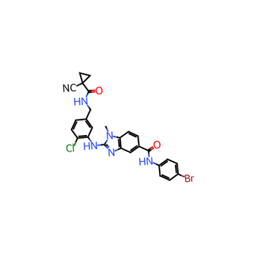 Cn1c(Nc2cc(CNC(=O)C3(C#N)CC3)ccc2Cl)nc2cc(C(=O)Nc3ccc(Br)cc3)ccc21